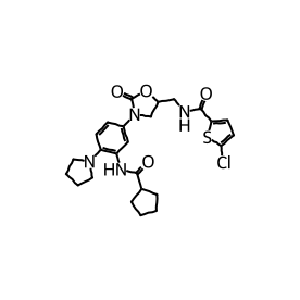 O=C(NCC1CN(c2ccc(N3CCCC3)c(NC(=O)C3CCCC3)c2)C(=O)O1)c1ccc(Cl)s1